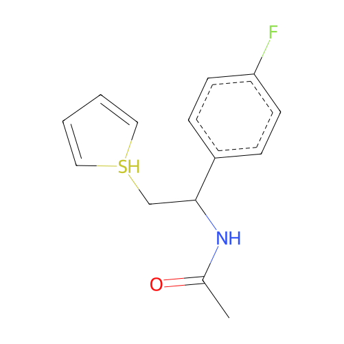 CC(=O)NC(C[SH]1C=CC=C1)c1ccc(F)cc1